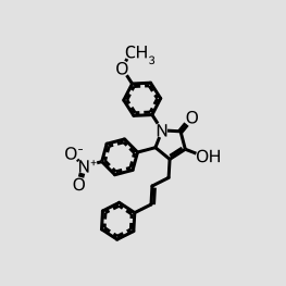 COc1ccc(N2C(=O)C(O)=C(CC=Cc3ccccc3)C2c2ccc([N+](=O)[O-])cc2)cc1